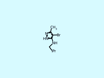 Cc1n[nH]c(NCC(C)C)c1Br